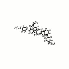 CCCCc1ccc(-c2cccc3c2C=C(CCC)C3C[SiH]([Zr])CC2C(CCC)=Cc3c(-c4ccc(CCCC)cc4)cccc32)cc1